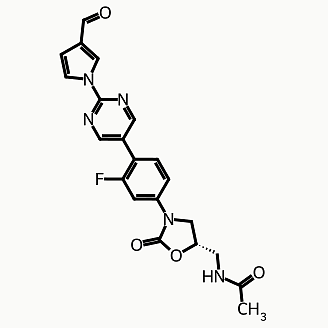 CC(=O)NC[C@H]1CN(c2ccc(-c3cnc(-n4ccc(C=O)c4)nc3)c(F)c2)C(=O)O1